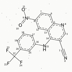 N#Cc1cnc2ccc([N+](=O)[O-])cc2c1Nc1cccc(C(F)(F)F)c1